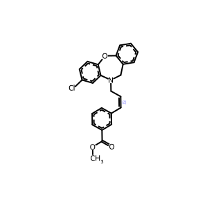 COC(=O)c1cccc(/C=C\CN2Cc3ccccc3Oc3ccc(Cl)cc32)c1